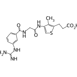 Cc1c(NC(=O)CNC(=O)c2cccc(NC(=N)N)c2)csc1CCC(=O)O